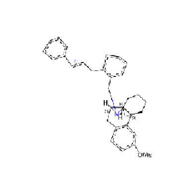 COc1ccc2c(c1)[C@@]13CCCC[C@H]1[C@@H](C2)N(Cc1ccccc1C/C=C/c1ccccc1)CC3